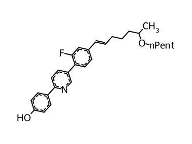 CCCCCOC(C)CCCC=Cc1ccc(-c2ccc(-c3ccc(O)cc3)nc2)c(F)c1